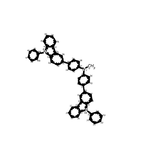 CN(c1ccc(-c2ccc3c(c2)c2ccccc2n3-c2ccccc2)cc1)c1ccc(-c2ccc3c(c2)c2ccccc2n3-c2ccccc2)cc1